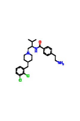 CC(C)C(CN1CCC(Cc2cccc(Cl)c2Cl)CC1)NC(=O)c1ccc(CCN)cc1